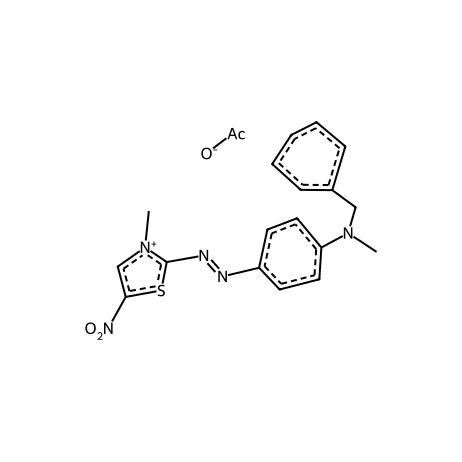 CC(=O)[O-].CN(Cc1ccccc1)c1ccc(N=Nc2sc([N+](=O)[O-])c[n+]2C)cc1